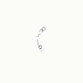 CCCN(CCCCc1ccc2c(c1)oc(=O)n2C)CCCCN1C(=O)CC2(CCCCC2)C1=O